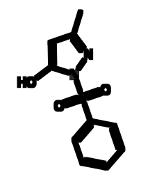 Cc1cc(O)n(S(=O)(=O)c2ccccc2)n1